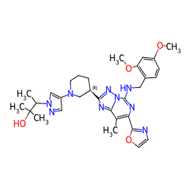 COc1ccc(CNc2nc(-c3ncco3)c(C)c3nc([C@@H]4CCCN(c5cnn(C(C)C(C)(C)O)c5)C4)nn23)c(OC)c1